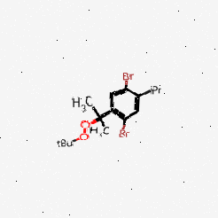 CC(C)c1cc(Br)c(C(C)(C)OOC(C)(C)C)cc1Br